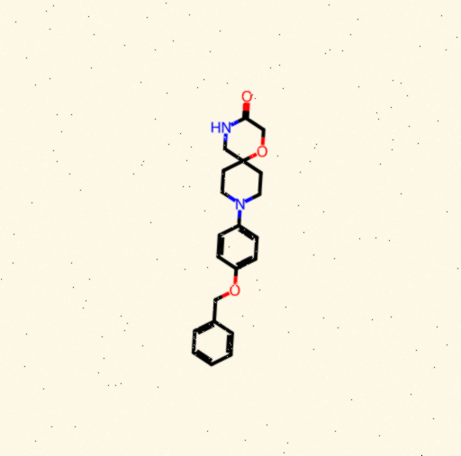 O=C1COC2(CCN(c3ccc(OCc4ccccc4)cc3)CC2)CN1